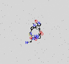 CCn1c(-c2cccnc2[C@H](C)OC)c2c3cc(ccc31)-c1csc(n1)C[C@H](NC(=O)[C@H]1C[C@@H]1C#N)C(=O)N1CCC[C@H](N1)C(=O)OCC(C)(C)C2